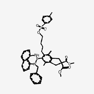 COC(=O)C1(C(=O)OC)Cc2c(C)c(CCCCOS(=O)(=O)c3ccc(C)cc3)c(B3Nc4cccc5cccc(c45)N3Cc3ccccc3)c(C)c2C1